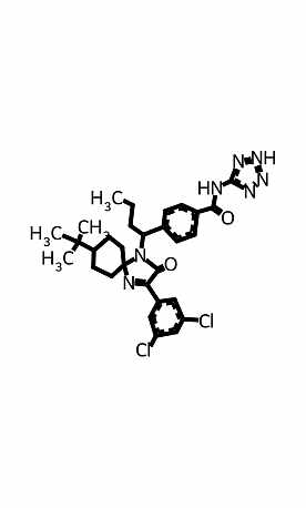 CCCC(c1ccc(C(=O)Nc2nn[nH]n2)cc1)N1C(=O)C(c2cc(Cl)cc(Cl)c2)=NC12CCC(C(C)(C)C)CC2